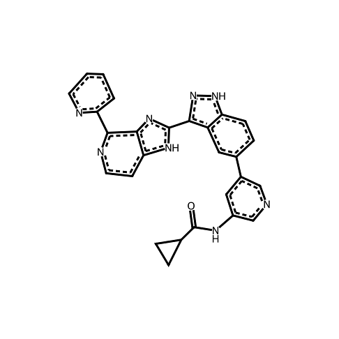 O=C(Nc1cncc(-c2ccc3[nH]nc(-c4nc5c(-c6ccccn6)nccc5[nH]4)c3c2)c1)C1CC1